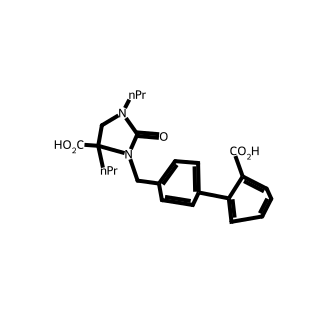 CCCN1CC(CCC)(C(=O)O)N(Cc2ccc(-c3ccccc3C(=O)O)cc2)C1=O